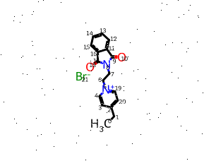 CCc1cc[n+](CCN2C(=O)c3ccccc3C2=O)cc1.[Br-]